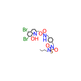 CCCCn1sc(=O)n(Cc2ccc(CNC(=O)OCc3ccc4c(Br)cc(Br)c(O)c4n3)cc2)c1=O